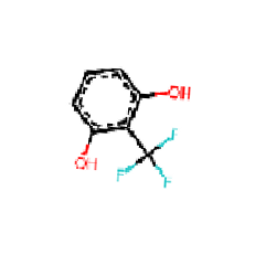 Oc1[c]ccc(O)c1C(F)(F)F